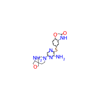 Nc1nc(N2CCC3(CC2)COC[C@H]3N)cnc1Sc1ccc2c(c1)NC(=O)CO2